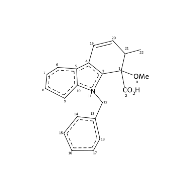 COC1(C(=O)O)c2c(c3ccccc3n2Cc2ccccc2)C=CC1C